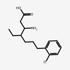 CCC(CCCc1ccccc1Cl)C(N)CC(=O)O